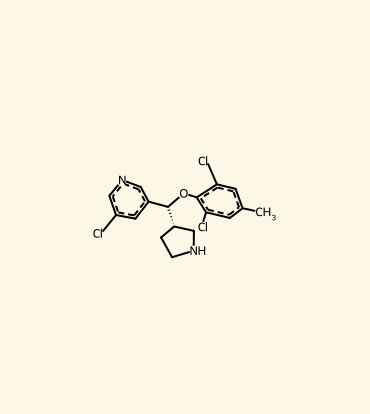 Cc1cc(Cl)c(OC(c2cncc(Cl)c2)[C@H]2CCNC2)c(Cl)c1